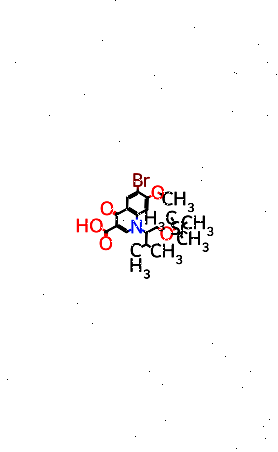 COc1cc2c(cc1Br)c(=O)c(C(=O)O)cn2C(CO[Si](C)(C)C)C(C)C